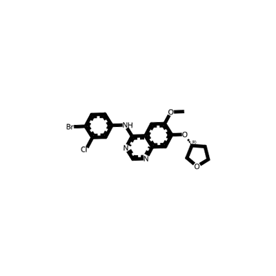 COc1cc2c(Nc3ccc(Br)c(Cl)c3)ncnc2cc1O[C@@H]1CCOC1